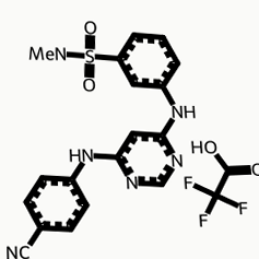 CNS(=O)(=O)c1cccc(Nc2cc(Nc3ccc(C#N)cc3)ncn2)c1.O=C(O)C(F)(F)F